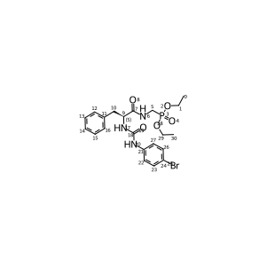 CCOP(=O)(CNC(=O)[C@H](Cc1ccccc1)NC(=O)Nc1ccc(Br)cc1)OCC